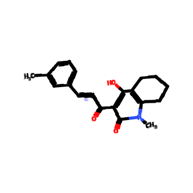 Cc1cccc(/C=C/C(=O)c2c(O)c3c(n(C)c2=O)CCCC3)c1